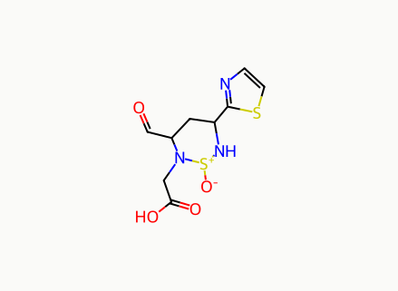 O=CC1CC(c2nccs2)N[S+]([O-])N1CC(=O)O